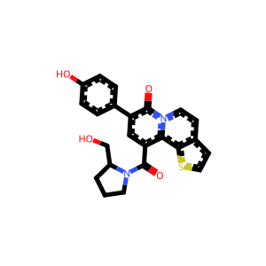 O=C(c1cc(-c2ccc(O)cc2)c(=O)n2ccc3ccsc3c12)N1CCCC1CO